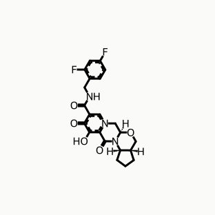 O=C(NCc1ccc(F)cc1F)c1cn2c(c(O)c1=O)C(=O)N1[C@@H](C2)OC[C@@H]2CCC[C@@H]21